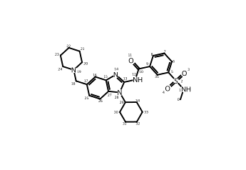 CNS(=O)(=O)c1cccc(C(=O)Nc2nc3cc(CN4CCCCC4)ccc3n2C2CCCCC2)c1